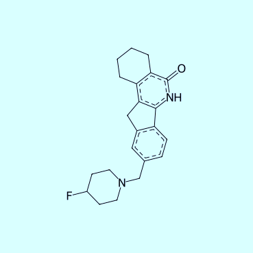 O=c1[nH]c2c(c3c1CCCC3)Cc1cc(CN3CCC(F)CC3)ccc1-2